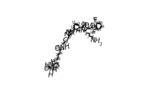 NCCCC[C@H](NC(=O)c1cccc(-n2cc(COCCNC(=O)CCCC[C@@H]3SC[C@@H]4NC(=O)N[C@@H]43)nn2)c1)C(=O)COc1c(F)cccc1F